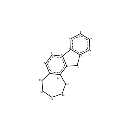 c1ccc2c(c1)Cc1c-2ccc2c1CCCCC2